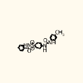 Cc1ccc(NC(=O)Nc2ccc(S(=O)(=O)NC(=O)c3ccccc3)cc2)cc1